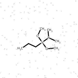 CCC[Si](OC)(OC)N(C)C